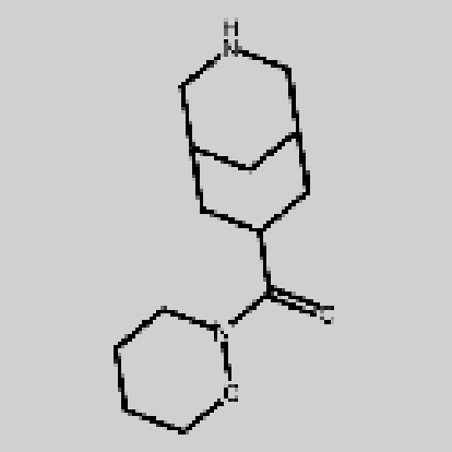 O=C(C1CC2CNCC(C2)C1)N1CCCCO1